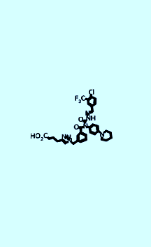 O=C(O)CCCc1cn(Cc2cccc(C(=O)N(C(=O)NN=Cc3ccc(Cl)c(C(F)(F)F)c3)c3ccc(N4CCCCC4)cc3)c2)nn1